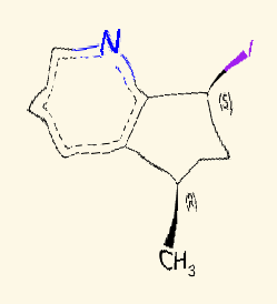 C[C@@H]1C[C@H](I)c2ncccc21